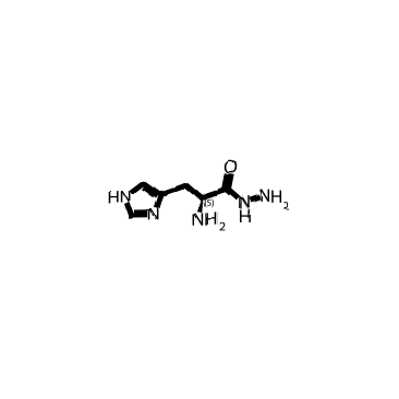 NNC(=O)[C@@H](N)Cc1c[nH]cn1